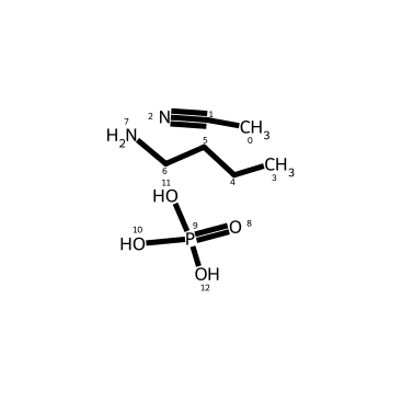 CC#N.CCCCN.O=P(O)(O)O